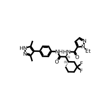 CCn1nccc1C(=O)N[C@H](C(=O)Nc1ccc(-c2c(C)n[nH]c2C)cc1)[C@H]1CCCC(F)(F)C1